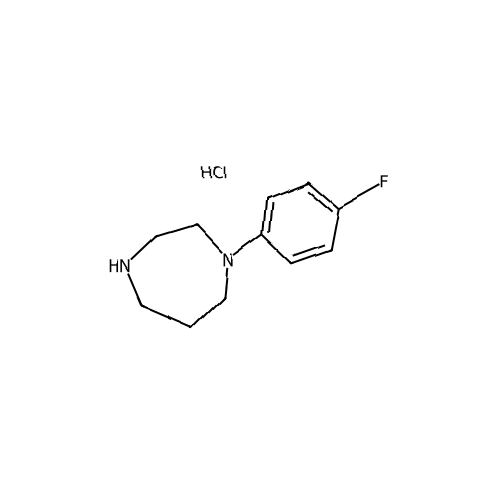 Cl.Fc1ccc(N2CCCNCC2)cc1